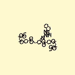 C=CC(=O)OC(C)(C)CC(C)(C)Oc1ccc(C(=O)OCCc2ccc(OC(=O)c3ccc(OC(C)(C)CC(C)(C)OC(=O)C=C)cc3)c(/C=N/CNc3nc4c(ccc5ccccc54)s3)c2)cc1